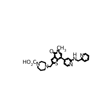 Cn1cc(-c2ccnc(NCc3ccccn3)c2)c2sc(CN3CCCN(C(=O)O)CC3)cc2c1=O